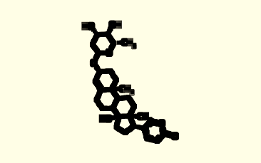 C[C@@H]1OC(O[C@@H]2C=C3CCC4C(CC[C@]5(C)[C@@H](c6ccc(=O)oc6)CC[C@]45O)[C@@]3(C)CC2)C[C@H](O)[C@H]1O